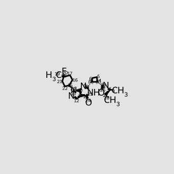 Cc1nc([C@H]2CC[C@H]2c2nc3c(cnn3C3CCC(C)(F)CC3)c(=O)[nH]2)oc1C